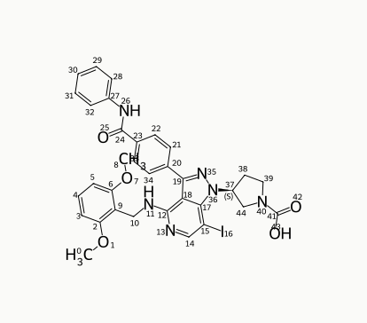 COc1cccc(OC)c1CNc1ncc(I)c2c1c(-c1ccc(C(=O)Nc3ccccc3)cc1)nn2[C@H]1CCN(C(=O)O)C1